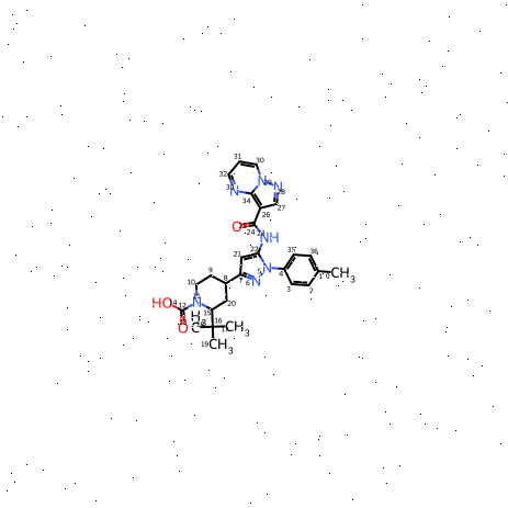 Cc1ccc(-n2nc(C3CCN(C(=O)O)C(C(C)(C)C)C3)cc2NC(=O)c2cnn3cccnc23)cc1